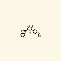 CCOc1ccc([C@@H](NC(=O)C2C3Oc4ccc(F)cc4C32)C(F)F)cn1